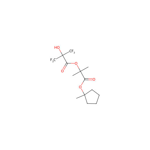 CC1(OC(=O)C(C)(C)OC(=O)C(O)(C(F)(F)F)C(F)(F)F)CCCC1